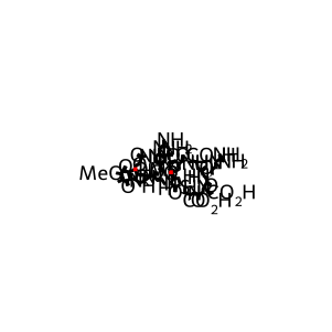 COC1=C(C)C(=O)C2=C(C1=O)[C@H](COC(N)=O)[C@]1(OC)[C@H]3[C@@H](CN21)N3C(=O)CCCN1C(=O)CC(SC[C@@H](NC(=O)[C@@H](CC(=O)O)NC(=O)[C@@H](CCCNC(=N)N)NC(=O)CC[C@@H](NC(=O)c2ccc(NCc3cnc4nc(N)[nH]c(=O)c4n3)cc2)C(=O)O)C(=O)O)C1=O